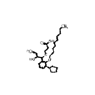 CCCCCCCCCCOc1c(C2CCCC2)cccc1C(SCCC(=O)O)C(O)CO